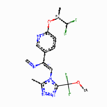 C=N/C(=C\n1c(C)nnc1C(F)(F)OCC)c1ccc(O[C@@H](C)C(F)F)nc1